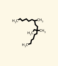 CCCCCCC(C)CCC(C)(CC)CCCCCC